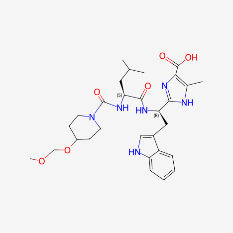 COCOC1CCN(C(=O)N[C@@H](CC(C)C)C(=O)N[C@H](Cc2c[nH]c3ccccc23)c2nc(C(=O)O)c(C)[nH]2)CC1